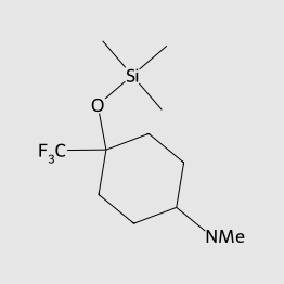 CNC1CCC(O[Si](C)(C)C)(C(F)(F)F)CC1